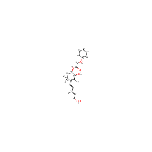 CC1=C(/C=C/C(C)=C/CO)C(C)(C)CC(OC(=O)COc2ccccc2)C1=O